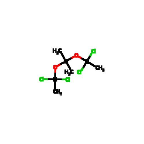 C[Si](Cl)(Cl)O[Si](C)(C)O[Si](C)(Cl)Cl